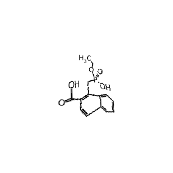 CCOP(=O)(O)Cc1c(C(=O)O)ccc2ccccc12